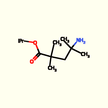 CC(C)OC(=O)C(C)(C)CC(C)(C)N